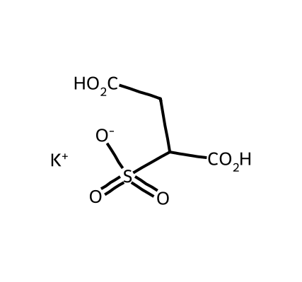 O=C(O)CC(C(=O)O)S(=O)(=O)[O-].[K+]